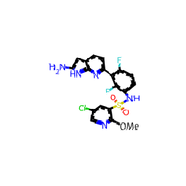 COc1ncc(Cl)cc1S(=O)(=O)Nc1ccc(F)c(-c2ccc3cc(N)[nH]c3n2)c1F